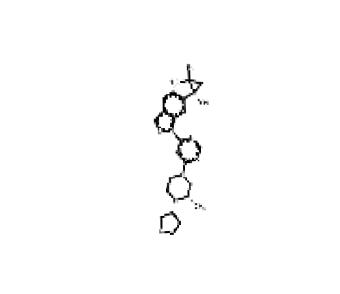 CCC1(C)C[C@@]1(C#N)c1ccc2cnn(-c3cc(N4CCN([C@@H]5CCOC5)[C@@H](C)C4)ncn3)c2c1